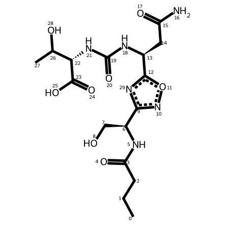 CCCC(=O)N[C@@H](CO)c1noc([C@H](CC(N)=O)NC(=O)N[C@H](C(=O)O)C(C)O)n1